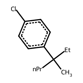 CCCC(C)(CC)c1ccc(Cl)cc1